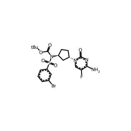 CC(C)(C)OC(=O)N([C@H]1CC[C@H](n2cc(F)c(N)nc2=O)C1)S(=O)(=O)c1cccc(Br)c1